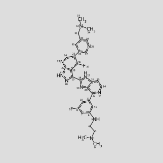 CN(C)CCNc1cc(F)cc(-c2nccc3[nH]c(-c4n[nH]c5ncc(-c6cncc(CN(C)C)c6)c(F)c45)nc23)c1